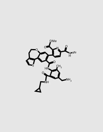 CCCNC(=O)c1ccc(-c2cc3c(cc2C(=O)Nc2c(C)cc(CN)cc2C(=O)NCC2CC2)-c2sccc2CCO3)c(C(=O)OC)n1